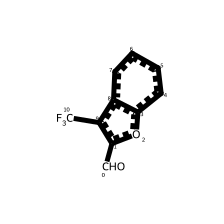 O=Cc1oc2ccccc2c1C(F)(F)F